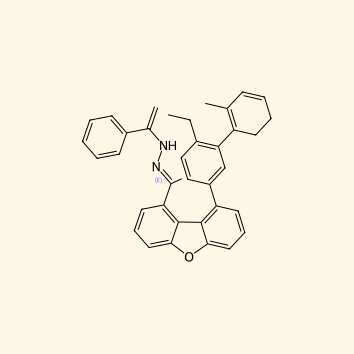 C=C(N/N=C(\C)c1cccc2oc3cccc(-c4ccc(CC)c(C5=C(C)C=CCC5)c4)c3c12)c1ccccc1